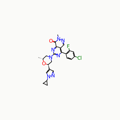 C[C@@H]1CN(c2nc(-c3ccc(Cl)cc3F)c3cnn(C)c(=O)c3n2)C[C@@H](c2cnn(C3CC3)c2)O1